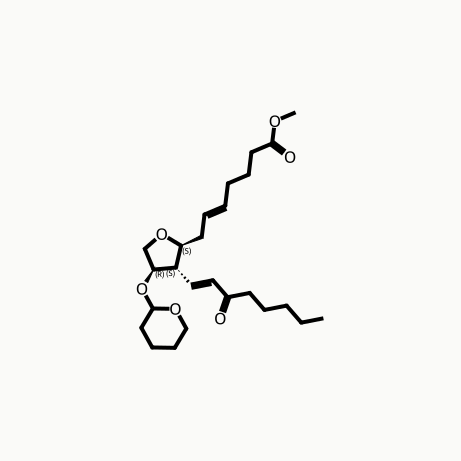 CCCCCC(=O)C=C[C@H]1[C@H](CC=CCCCC(=O)OC)OC[C@@H]1OC1CCCCO1